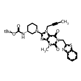 CC#CCn1c(N2CCC[C@@H](NC(=O)OC(C)(C)C)C2)nc2c1c(=O)n(Cc1nc3ccccc3s1)c(=O)n2C